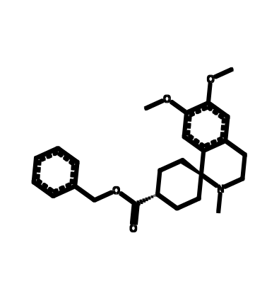 COc1cc2c(cc1OC)[C@]1(CC[C@@H](C(=O)OCc3ccccc3)CC1)N(C)CC2